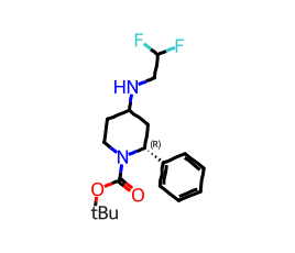 CC(C)(C)OC(=O)N1CCC(NCC(F)F)C[C@@H]1c1ccccc1